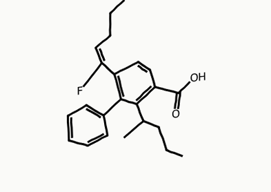 CCC/C=C(/F)c1ccc(C(=O)O)c(C(C)CCC)c1-c1ccccc1